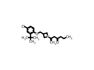 C=C(CC(=O)CCC)N1CC(COc2ccc(Cl)cc2C(C)(C)C)C1